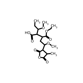 CCOC(=O)C(CC(OC)C1C(=O)OC(=O)C1C)C(C(=O)O)C(CC)OC